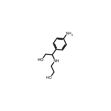 Nc1ccc(C(CO)NCCO)cc1